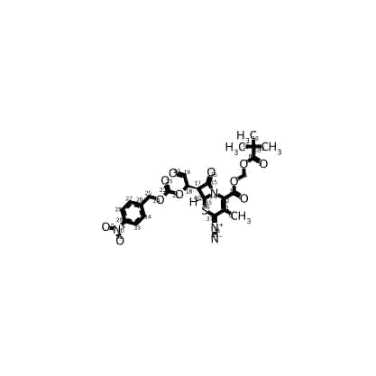 CC1=C(C(=O)OCOC(=O)C(C)(C)C)N2C(=O)[C@H](C(C=O)OC(=O)OCc3ccc([N+](=O)[O-])cc3)[C@@H]2SC1=[N+]=[N-]